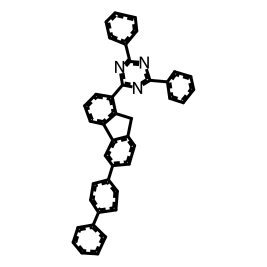 c1ccc(-c2ccc(-c3ccc4c(c3)-c3cccc(-c5nc(-c6ccccc6)nc(-c6ccccc6)n5)c3C4)cc2)cc1